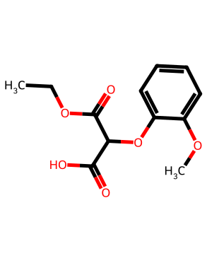 CCOC(=O)C(Oc1ccccc1OC)C(=O)O